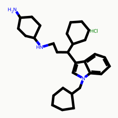 Cl.NC1CCC(NCCC(c2cn(CC3CCCCC3)c3ccccc23)C2CCCCC2)CC1